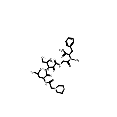 CCC(C)C(NC(=O)C(CC(C)C)NC(=O)CN1CCOCC1)C(=O)C(=O)NCC(=O)N(C)C(Cc1ccccc1)C(N)=O